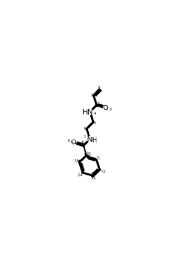 C=CC(=O)NCCNC(=O)c1ccccc1